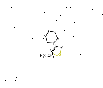 C.C.C1=CSSC1.C1CCCCC1